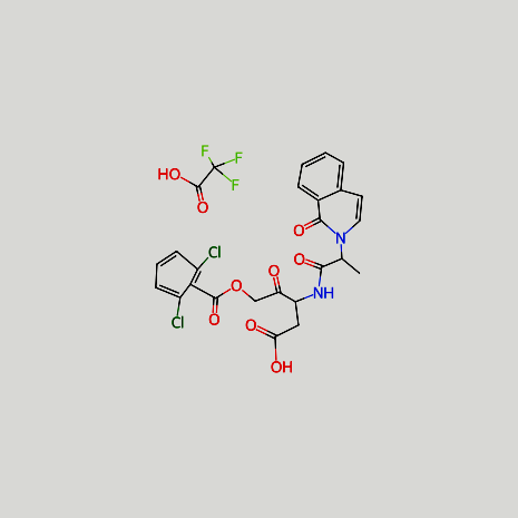 CC(C(=O)NC(CC(=O)O)C(=O)COC(=O)c1c(Cl)cccc1Cl)n1ccc2ccccc2c1=O.O=C(O)C(F)(F)F